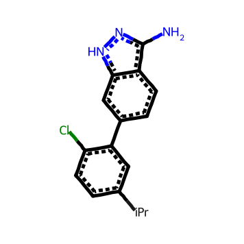 CC(C)c1ccc(Cl)c(-c2ccc3c(N)n[nH]c3c2)c1